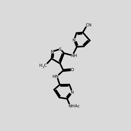 CC(=O)Nc1ccc(NC(=O)c2c(C)nsc2Nc2ccc(C#N)cn2)cn1